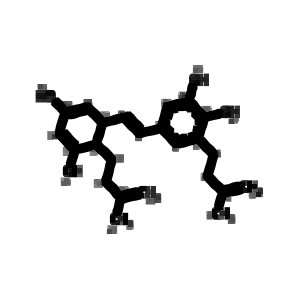 C=C(C)CCc1cc(C=CC2C=C(O)C=C(O)C2CCC(=C)C)cc(O)c1O